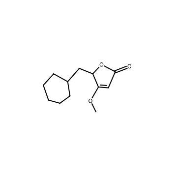 COC1=CC(=O)OC1CC1CCCCC1